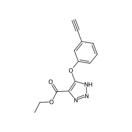 C#Cc1cccc(Oc2[nH]nnc2C(=O)OCC)c1